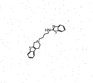 c1ccc2sc(NCCCCN3CCc4c(sc5ccccc45)C3)nc2c1